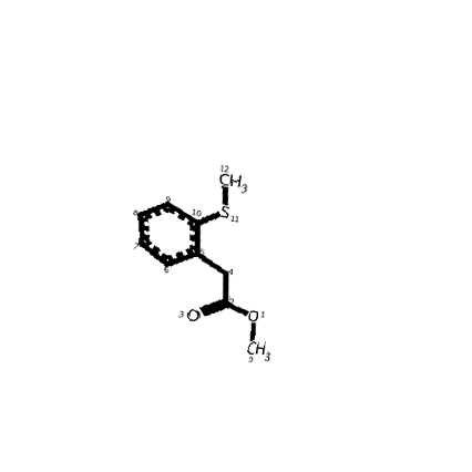 COC(=O)Cc1ccccc1SC